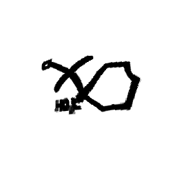 CC(C)(Cl)C1(C(=O)O)CCCCC1